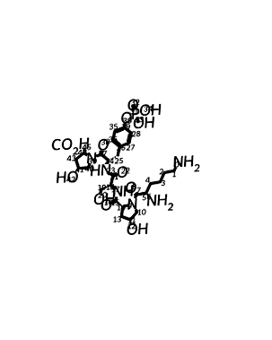 NCCCC[C@H](N)C(=O)N1C[C@H](O)C[C@H]1C(=O)N[C@@H](CO)C(=O)N[C@@H](Cc1ccc(OP(=O)(O)O)cc1)C(=O)N1C[C@H](O)C[C@H]1C(=O)O